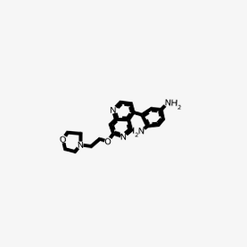 Nc1ccc(N)c(-c2ccnc3cc(OCCN4CCOCC4)ncc23)c1